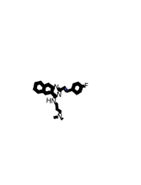 CN(C)CCCNc1nc(/C=C/c2ccc(F)cc2)nc2cc3ccccc3cc12